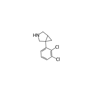 Clc1cccc(C23CNCC2C3)c1Cl